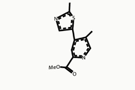 COC(=O)c1cc(-c2cnc(C)s2)c(C)cn1